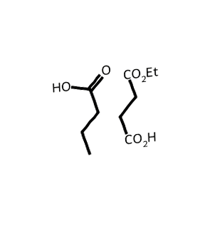 CCCC(=O)O.CCOC(=O)CCC(=O)O